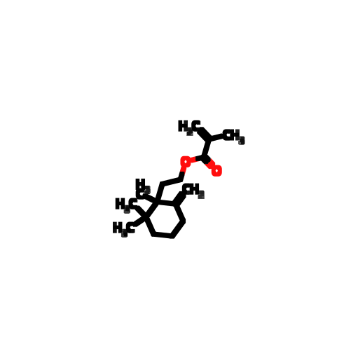 C=C(C)C(=O)OCCC1(C)C(=C)CCCC1(C)C